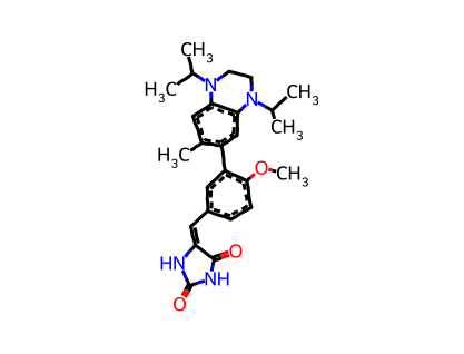 COc1ccc(/C=C2/NC(=O)NC2=O)cc1-c1cc2c(cc1C)N(C(C)C)CCN2C(C)C